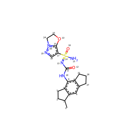 CC1CCc2c1cc1c(c2NC(=O)N=S(N)(=O)c2cnn3c2OCC3)CCC1